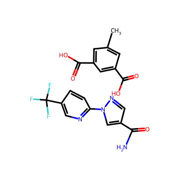 Cc1cc(C(=O)O)cc(C(=O)O)c1.NC(=O)c1cnn(-c2ccc(C(F)(F)F)cn2)c1